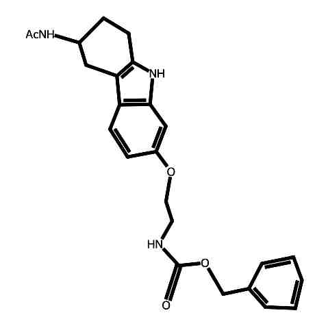 CC(=O)NC1CCc2[nH]c3cc(OCCNC(=O)OCc4ccccc4)ccc3c2C1